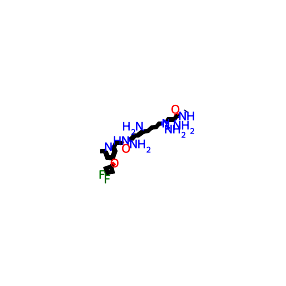 CNC(=O)/C(N)=C/N(N)CCCC/C(N)=C/C=C(\N)NC(=O)Cc1cc(OC2CC(F)(F)C2)cc(C)n1